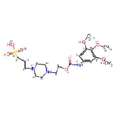 COc1cc(NC(=O)OCCN2CCN(CCCS(=O)(=O)O)CC2)cc(OC)c1OC